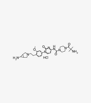 COc1cc(-n2ccc(NC(=O)N3CCN(C(=O)C(C)(C)N)CC3)nc2=O)ccc1CCN1CC2C(N)C2C1.Cl